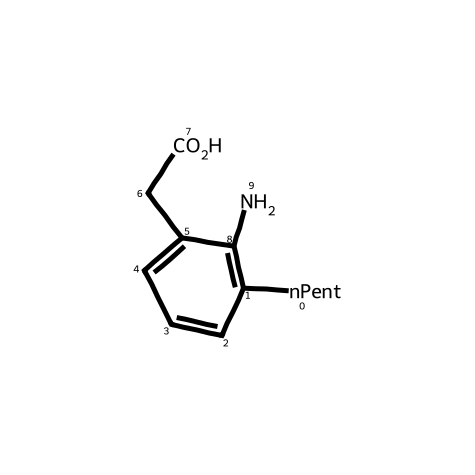 CCCCCc1cccc(CC(=O)O)c1N